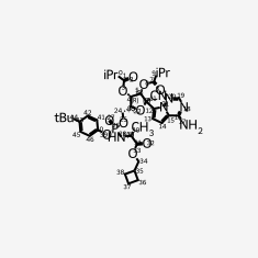 CC(C)C(=O)O[C@H]1[C@@H](OC(=O)C(C)C)[C@](C#N)(c2ccc3c(N)ncnn23)O[C@@H]1COP(=O)(N[C@@H](C)C(=O)OCC1CCC1)Oc1ccc(C(C)(C)C)cc1